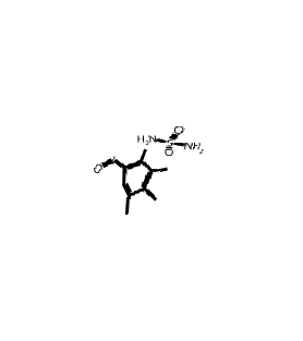 Cc1cc(I=O)c(C)c(C)c1C.NS(N)(=O)=O